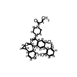 C=CC(=O)N1CCN(c2nc(=O)n(-c3cnccc3C3CC3)c3cc(-c4c(O)cccc4F)c(Cl)cc23)CC1